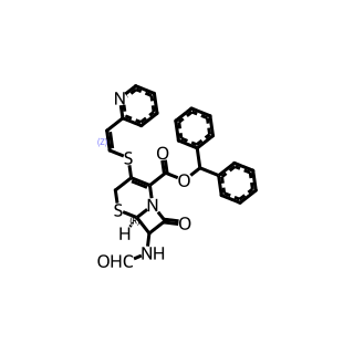 O=CNC1C(=O)N2C(C(=O)OC(c3ccccc3)c3ccccc3)=C(S/C=C\c3ccccn3)CS[C@H]12